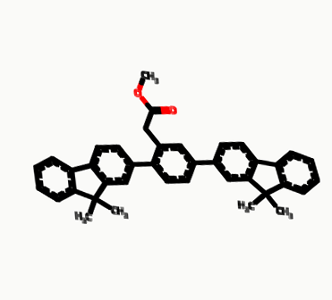 COC(=O)Cc1cc(-c2ccc3c(c2)C(C)(C)c2ccccc2-3)ccc1-c1ccc2c(c1)C(C)(C)c1ccccc1-2